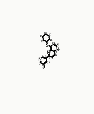 Cc1cncc(-c2ccc3ncnc(SC4CCCCC4)c3n2)c1